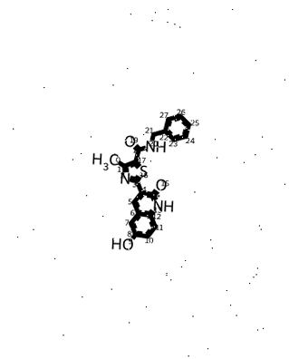 Cc1nc(-c2cc3cc(O)ccc3[nH]c2=O)sc1C(=O)NCc1ccccc1